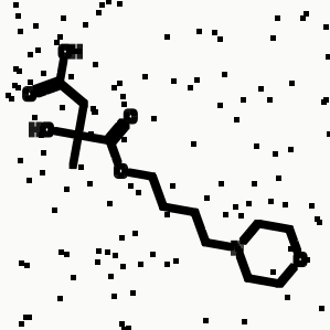 CC(O)(CC(=O)O)C(=O)OCCCCN1CCOCC1